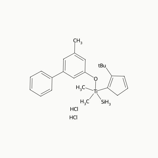 Cc1cc([O][Ti]([CH3])([CH3])([SiH3])[C]2=C(C(C)(C)C)C=CC2)cc(-c2ccccc2)c1.Cl.Cl